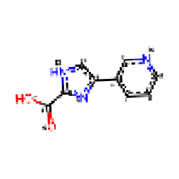 O=C(O)c1nc(-c2cccnc2)c[nH]1